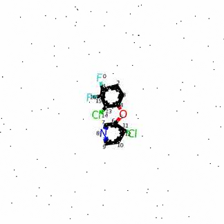 Fc1ccc(Oc2cnccc2Cl)c(Cl)c1F